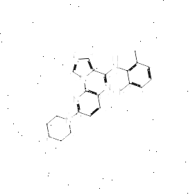 Cc1cccc(Cl)c1Nc1nc2ccc(N3CCCCC3)nc2n2cncc12